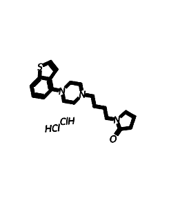 Cl.Cl.O=C1CCCN1CCCCN1CCN(c2cccc3sccc23)CC1